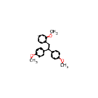 COc1ccc(C(Cc2cc[c]cc2OC)c2ccc(OC)cc2)cc1